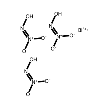 [Bi+3].[O-][N+]([O-])=NO.[O-][N+]([O-])=NO.[O-][N+]([O-])=NO